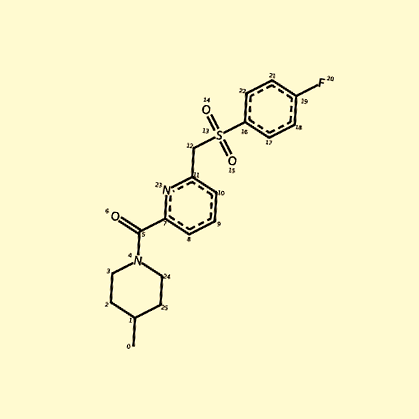 CC1CCN(C(=O)c2cccc(CS(=O)(=O)c3ccc(F)cc3)n2)CC1